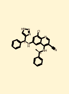 C[C@@H](Nc1c(C#N)cnc2c(Cl)cc(N[C@@H](c3ccccc3)c3c[nH]nn3)cc12)c1ccccc1